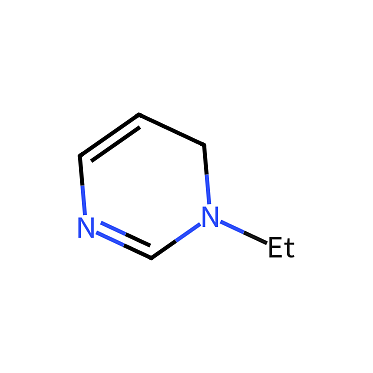 [CH2]CN1C=NC=CC1